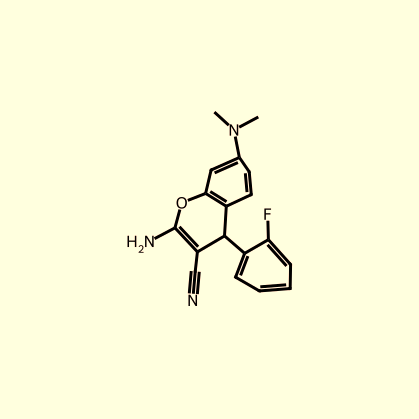 CN(C)c1ccc2c(c1)OC(N)=C(C#N)C2c1ccccc1F